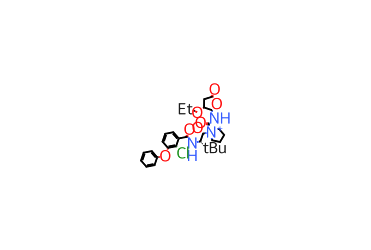 CCO[C@H]1CC(=O)O[C@H]1NC(=O)[N+]1(C(=O)[C@@H](NC(=O)c2cccc(Oc3ccccc3)c2Cl)C(C)(C)C)CCCC1